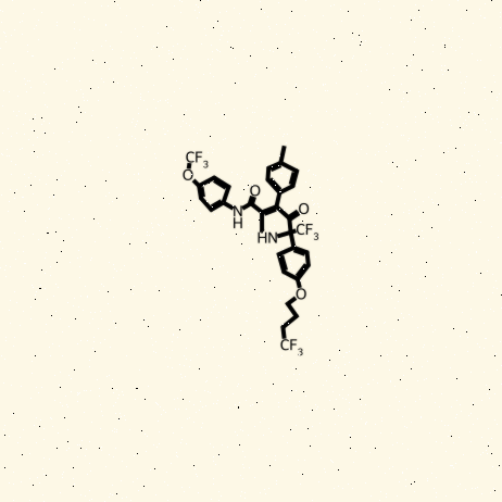 Cc1ccc(C2=C(C(=O)Nc3ccc(OC(F)(F)F)cc3)CNC(c3ccc(OCCCC(F)(F)F)cc3)(C(F)(F)F)C2=O)cc1